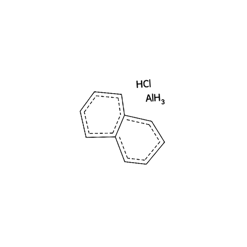 Cl.[AlH3].c1ccc2ccccc2c1